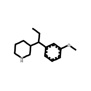 CCC(c1cccc(OC)c1)C1CCCNC1